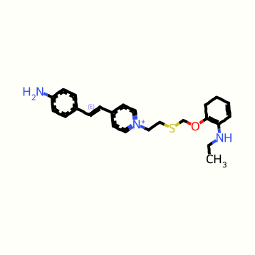 CCNC1=C(OCSCC[n+]2ccc(/C=C/c3ccc(N)cc3)cc2)CCC=C1